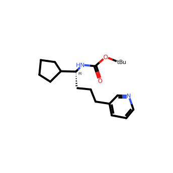 CC(C)(C)OC(=O)N[C@H](CCCc1cccnc1)C1CCCC1